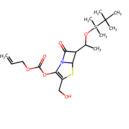 C=CCOC(=O)OC1=C(CO)SC2C(C(C)O[Si](C)(C)C(C)(C)C)C(=O)N12